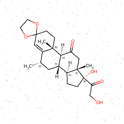 C[C@H]1C[C@@H]2[C@H](C(=O)C[C@@]3(C)[C@H]2CC[C@]3(O)C(=O)CO)[C@@]2(C)CCC3(C=C12)OCCO3